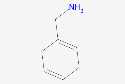 NCC1=CCC=CC1